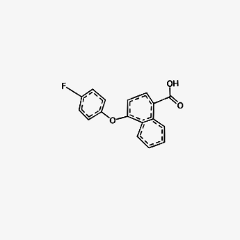 O=C(O)c1ccc(Oc2ccc(F)cc2)c2ccccc12